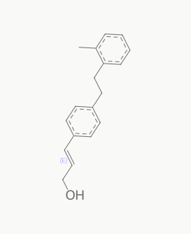 Cc1ccccc1CCc1ccc(/C=C/CO)cc1